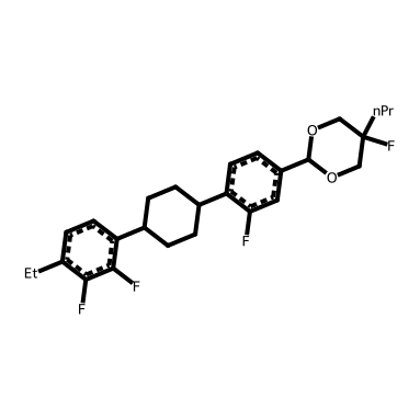 CCCC1(F)COC(c2ccc(C3CCC(c4ccc(CC)c(F)c4F)CC3)c(F)c2)OC1